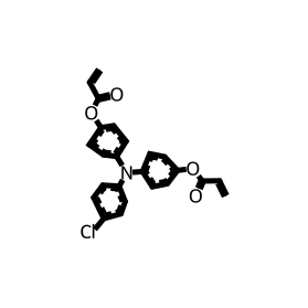 C=CC(=O)Oc1ccc(N(c2ccc(Cl)cc2)c2ccc(OC(=O)C=C)cc2)cc1